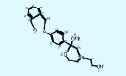 OCCN1CCOC(O)(c2ccc(OCc3ccccc3Cl)cc2)C1